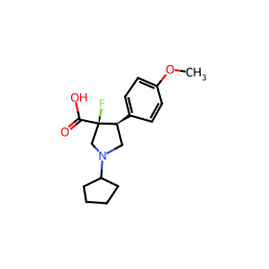 COc1ccc([C@H]2CN(C3CCCC3)C[C@]2(F)C(=O)O)cc1